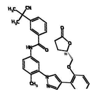 Cc1ccc(NC(=O)c2cccc(C(C)(C)C#N)c2)cc1-n1cc(-c2cnccc2OC[C@@H]2CCC(=O)O2)cn1